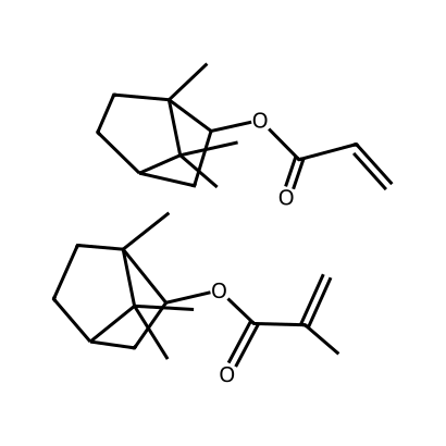 C=C(C)C(=O)OC1CC2CCC1(C)C2(C)C.C=CC(=O)OC1CC2CCC1(C)C2(C)C